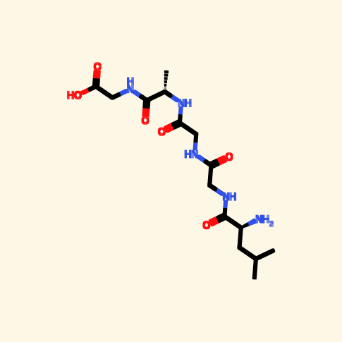 CC(C)C[C@H](N)C(=O)NCC(=O)NCC(=O)N[C@@H](C)C(=O)NCC(=O)O